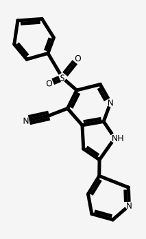 N#Cc1c(S(=O)(=O)c2ccccc2)cnc2[nH]c(-c3cccnc3)cc12